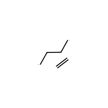 C=C.[CH2]CC[CH2]